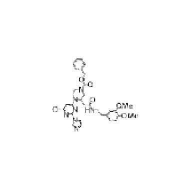 COc1ccc(CCNC(=O)CC2CN(C(=O)OCc3ccccc3)CCN2c2cc(Cl)nc(-n3ccnc3)n2)cc1OC